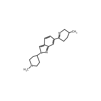 CC1CCC(c2ccc3cn(C4CCN(C)CC4)nc3c2)=NC1